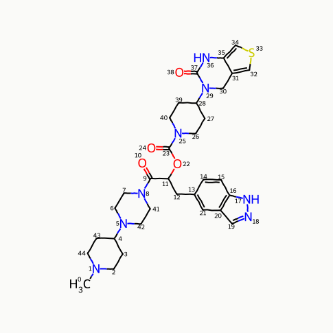 CN1CCC(N2CCN(C(=O)C(Cc3ccc4[nH]ncc4c3)OC(=O)N3CCC(N4Cc5cscc5NC4=O)CC3)CC2)CC1